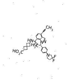 CC#Cc1ccc(C(=O)NC2CC3(C2)CC(C(=O)O)C3)c2c1cnn2[C@H](C)c1ccc(N2CCC(F)(F)C2)cc1